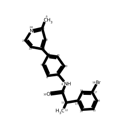 Cc1cc(-c2ccc(NC(=O)C(C)c3cccc(Br)c3)cc2)ccn1